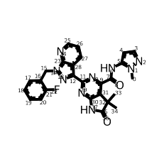 Cn1nccc1NC(=O)c1nc(-c2nn(Cc3ccccc3F)c3ncccc23)nc2c1C(C)(C)C(=O)N2